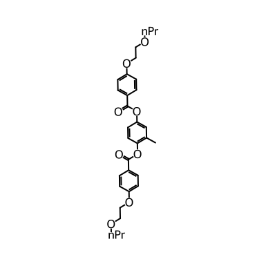 CCCOCCOc1ccc(C(=O)Oc2ccc(OC(=O)c3ccc(OCCOCCC)cc3)c(C)c2)cc1